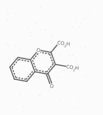 O=C(O)c1oc2ccccc2c(=O)c1C(=O)O